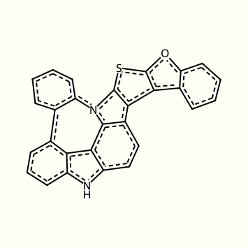 c1ccc2c(c1)oc1sc3c(c4ccc5[nH]c6cccc7c8ccccc8n3c4c5c67)c12